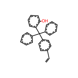 C=Cc1ccc(C(c2ccccc2)(c2ccccc2)c2ccccc2O)cc1